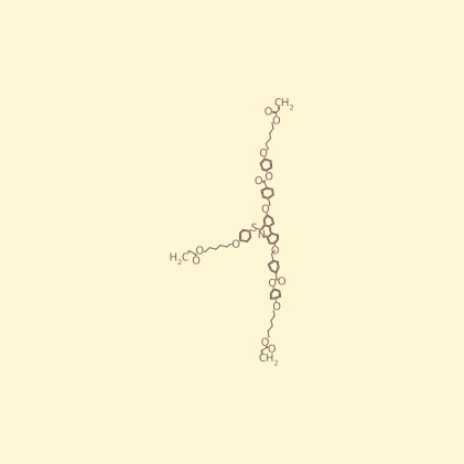 C=CC(=O)OCCCCCCOc1ccc(OC(=O)c2ccc(COc3ccc4c(c3)nc(Sc3ccc(OCCCCCCOC(=O)C=C)cc3)c3cc(OCc5ccc(C(=O)Oc6ccc(OCCCCCCOC(=O)C=C)cc6)cc5)ccc34)cc2)cc1